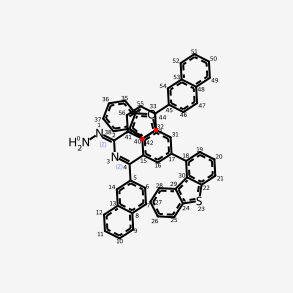 N/N=C(\N=C(\c1ccc2ccccc2c1)c1cc(-c2cccc3sc4ccccc4c23)cc2oc3ccccc3c12)C1=CCC(c2ccc3ccccc3c2)C=C1